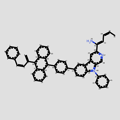 C=C(/C=C\c1ccccc1)c1c2ccccc2c(-c2ccc(-c3ccc4c(c3)c3cc(/C(N)=C/C=C\C)ncc3n4-c3ccccc3)cc2)c2ccccc12